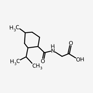 CC1CCC(C(=O)NCC(=O)O)C(C(C)C)C1